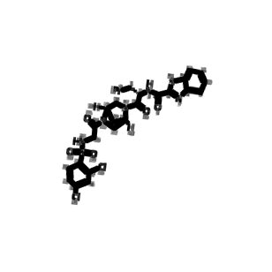 CC(C)C[C@H](NC(=O)c1nc2ccccc2s1)C(=O)N1C[C@@H]2C[C@H]1CN2C(=O)CNS(=O)(=O)c1ccc(Cl)cc1Cl